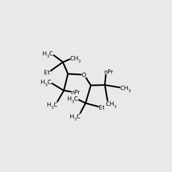 CCCC(C)(C)C(OC(C(C)(C)CC)C(C)(C)CCC)C(C)(C)CC